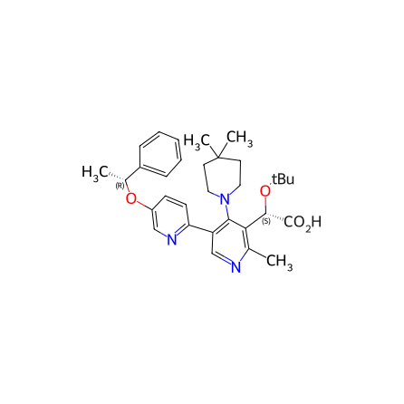 Cc1ncc(-c2ccc(O[C@H](C)c3ccccc3)cn2)c(N2CCC(C)(C)CC2)c1[C@H](OC(C)(C)C)C(=O)O